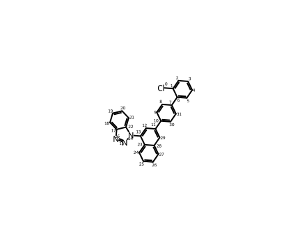 Clc1ccccc1-c1ccc(-c2cc(-n3nnc4ccccc43)c3ccccc3c2)cc1